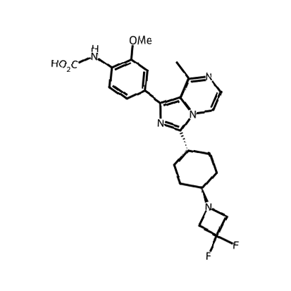 COc1cc(-c2nc([C@H]3CC[C@H](N4CC(F)(F)C4)CC3)n3ccnc(C)c23)ccc1NC(=O)O